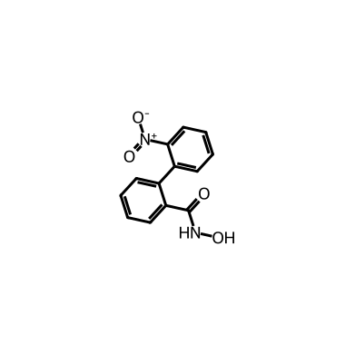 O=C(NO)c1ccccc1-c1ccccc1[N+](=O)[O-]